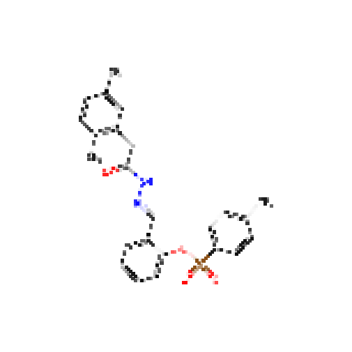 O=C(Cc1cc(C(F)(F)F)ccc1C(F)(F)F)NN=Cc1ccccc1OS(=O)(=O)c1ccc(C(F)(F)F)cc1